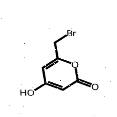 O=c1cc(O)cc(CBr)o1